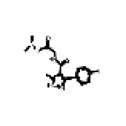 Cc1[nH]nc(-c2ccc(F)cc2)c1C(=S)NCC(=O)ON(C)C